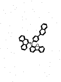 c1ccc2cc(-c3ccc(N(c4cc5ccccc5c5ccccc45)c4cccc5c4oc4ccccc45)cc3)ccc2c1